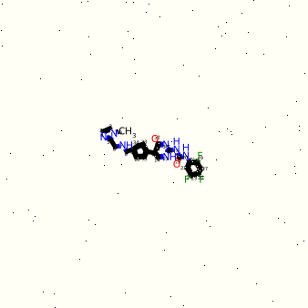 Cn1ccnc1CNCc1ccc(-c2c[nH]c(NC(=O)Nc3cc(F)c(F)cc3F)nc2=O)cc1